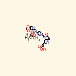 CC(C)(C)OC(=O)N(Cc1cc2c(cn1)OCCO2)C1CCN(CCn2c(=O)ccc3ncc(/C=C/C(=O)O)cc32)CC1